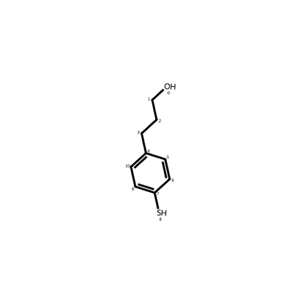 OCCCc1ccc(S)cc1